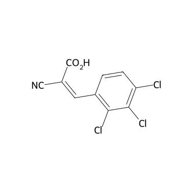 N#CC(=Cc1ccc(Cl)c(Cl)c1Cl)C(=O)O